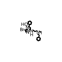 Oc1ccccc1-c1cc(NCCCN(CI)CCc2ccccc2)n2ncc(Br)c2n1